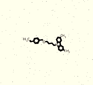 C=Cc1ccc(COCCCCn2c3ccc(C)cc3c3cc(C)ccc32)cc1